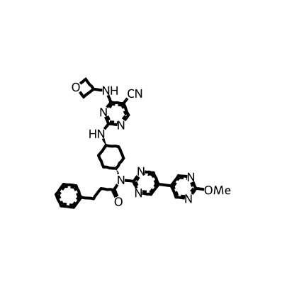 COc1ncc(-c2cnc(N(C(=O)CCc3ccccc3)[C@H]3CC[C@H](Nc4ncc(C#N)c(NC5COC5)n4)CC3)nc2)cn1